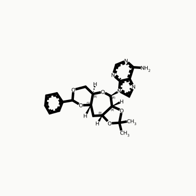 CC1(C)O[C@H]2[C@H](n3cnc4c(N)ncnc43)O[C@@H]3COC(c4ccccc4)O[C@H]3C[C@H]2O1